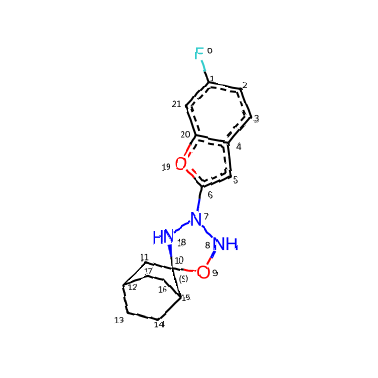 Fc1ccc2cc(N3NO[C@]4(CC5CCC4CC5)N3)oc2c1